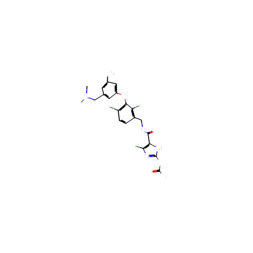 CN(C)Cc1cc(C#N)cc(Oc2c(Cl)ccc(CNC(=O)c3[nH]c(OC(=O)C(F)(F)F)nc3Cl)c2F)c1